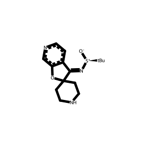 CC(C)(C)[S@+]([O-])/N=C1\c2ccncc2OC12CCNCC2